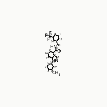 Cc1cccc(-n2ncc3c(C(=O)NCc4cccc(C(F)(F)F)c4)cccc32)c1